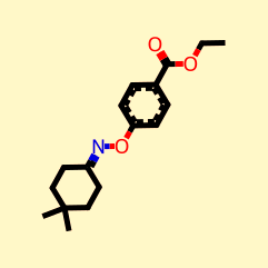 CCOC(=O)c1ccc(ON=C2CCC(C)(C)CC2)cc1